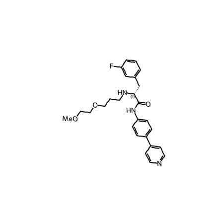 COCCOCCCN[C@H](Cc1cccc(F)c1)C(=O)Nc1ccc(-c2ccncc2)cc1